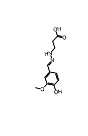 COc1cc(C=NNCCC(=O)O)ccc1O